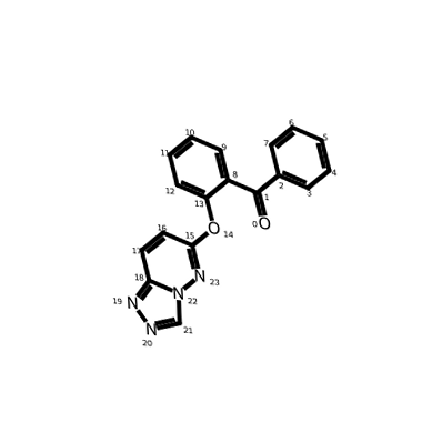 O=C(c1ccccc1)c1ccccc1Oc1ccc2nncn2n1